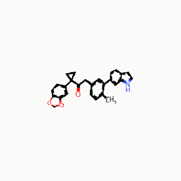 Cc1ccc(CC(=O)C2(c3ccc4c(c3)OCO4)CC2)cc1-c1ccc2cc[nH]c2c1